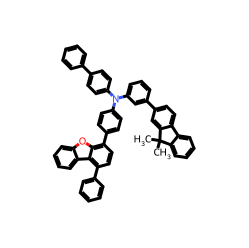 CC1(C)c2ccccc2-c2ccc(-c3cccc(N(c4ccc(-c5ccccc5)cc4)c4ccc(-c5ccc(-c6ccccc6)c6c5oc5ccccc56)cc4)c3)cc21